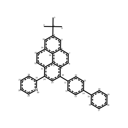 CC(C)(C)c1cc2ccc3c(-c4ccc(-c5ccccc5)cc4)cc(-c4ccccn4)c4ccc(c1)c2c34